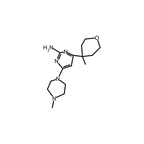 CN1CCN(c2cc(C3(C)CCOCC3)nc(N)n2)CC1